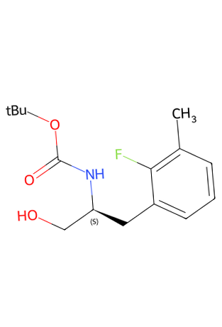 Cc1cccc(C[C@@H](CO)NC(=O)OC(C)(C)C)c1F